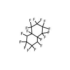 FC1C(F)(F)C(F)(F)C(F)C2(F)C(F)(F)C(F)(F)C(F)(F)C(F)(F)C12F